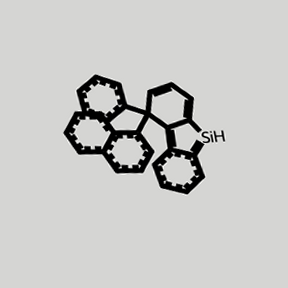 C1=CC(c2ccccc2)(c2cccc3ccccc23)C2=c3ccccc3=[SiH]C2=C1